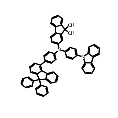 CC1(C)c2ccccc2-c2ccc(N(c3ccc(-c4cccc5c4-c4ccccc4C5(c4ccccc4)c4ccccc4)cc3)c3ccc(-n4c5ccccc5c5ccccc54)cc3)cc21